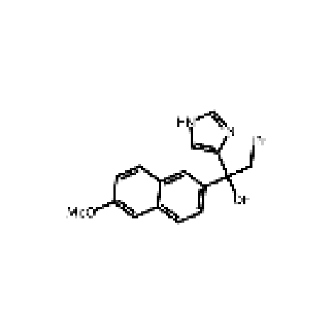 COc1ccc2cc(C(O)(CC(C)C)c3c[nH]cn3)ccc2c1